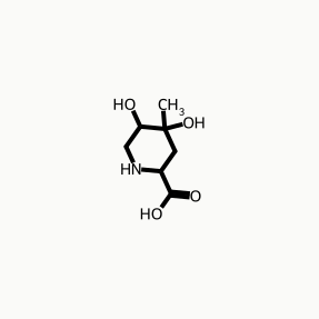 CC1(O)CC(C(=O)O)NCC1O